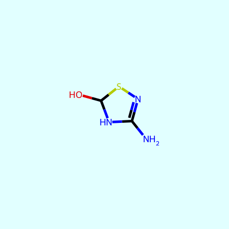 NC1=NSC(O)N1